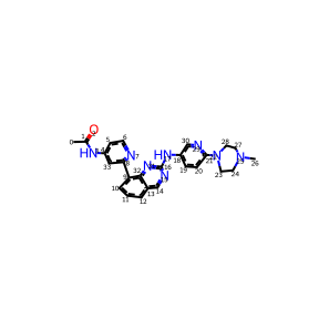 CC(=O)Nc1ccnc(-c2cccc3cnc(Nc4ccc(N5CCN(C)CC5)nc4)nc23)c1